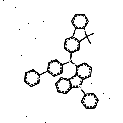 CC1(C)c2ccccc2-c2ccc(N(c3ccc(-c4ccccc4)cc3)c3cccc4c3c3ccccc3n4-c3ccccc3)cc21